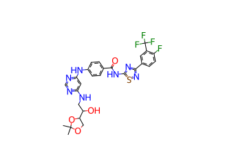 CC1(C)OCC(C(O)CNc2cc(Nc3ccc(C(=O)Nc4nc(-c5ccc(F)c(C(F)(F)F)c5)ns4)cc3)ncn2)O1